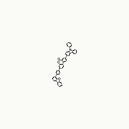 O=c1oc2cc(-c3ccc(-c4cccc5c4oc4ccccc45)cc3)ccc2c2ccc(-c3ccc4c(c3)c3ccccc3n4-c3ccccc3)cc12